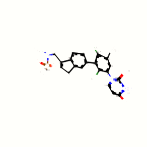 CN(CC1=CCc2cc(-c3c(F)c(-n4ccc(=O)[nH]c4=O)cc(C(C)(C)C)c3Cl)ccc21)S(C)(=O)=O